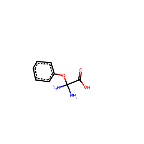 NC(N)(Oc1ccccc1)C(=O)O